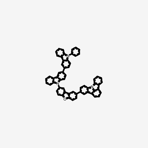 c1ccc(-n2c3ccccc3c3cc(-c4ccc5c(c4)c4ccccc4n5-c4ccc5oc6ccc(-c7ccc8c(c7)c7cccc9c%10ccccc%10n8c97)cc6c5c4)ccc32)cc1